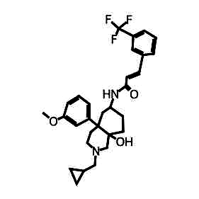 COc1cccc(C23CCN(CC4CC4)CC2(O)CCC(NC(=O)/C=C/c2cccc(C(F)(F)F)c2)C3)c1